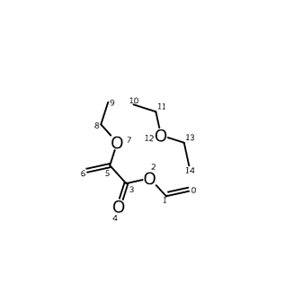 C=COC(=O)C(=C)OCC.CCOCC